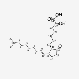 CC(C)=CCCCCC/C=C/[C@H]1CCC(=O)[C@@H]1CCCCCC(O)C(=O)O